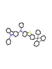 c1ccc(N(c2ccc3c(c2)sc2cc(C4(c5ccccc5)c5ccccc5-c5ccccc54)ccc23)c2ccc3c(c2)c2ccccc2n3-c2ccccc2)cc1